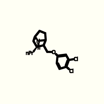 CCC[C@H]1CC2CCC(C1COc1ccc(Cl)c(Cl)c1)N2C